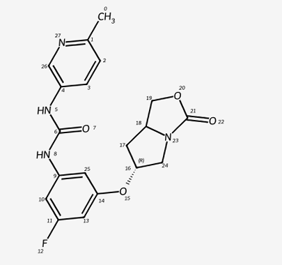 Cc1ccc(NC(=O)Nc2cc(F)cc(O[C@@H]3CC4COC(=O)N4C3)c2)cn1